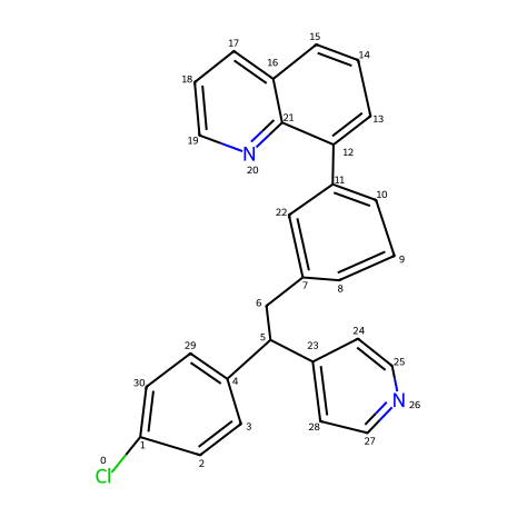 Clc1ccc(C(Cc2cccc(-c3cccc4cccnc34)c2)c2ccncc2)cc1